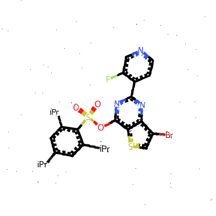 CC(C)c1cc(C(C)C)c(S(=O)(=O)Oc2nc(-c3ccncc3F)nc3c(Br)csc23)c(C(C)C)c1